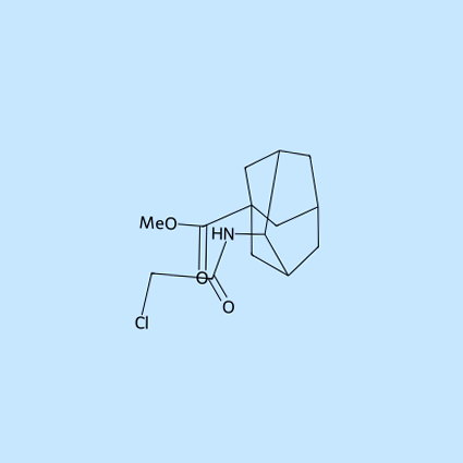 COC(=O)C12CC3CC(C1)C(NC(=O)CCl)C(C3)C2